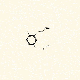 C=CCOc1cc(C(F)(F)F)ccc1Cl.CCOCC